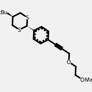 COCCOCC#Cc1ccc([C@H]2SC[C@H](C(C)(C)C)CS2)cc1